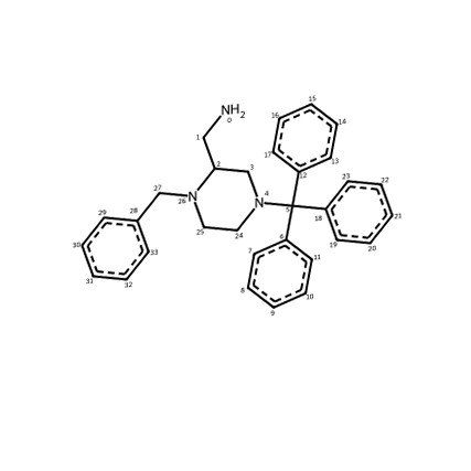 NCC1CN(C(c2ccccc2)(c2ccccc2)c2ccccc2)CCN1Cc1ccccc1